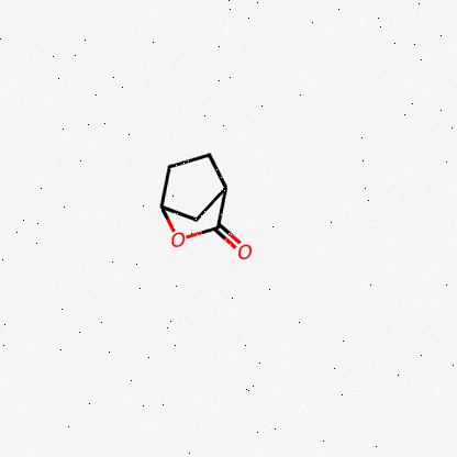 O=C1OC2CCC1C2